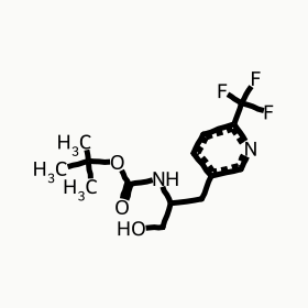 CC(C)(C)OC(=O)NC(CO)Cc1ccc(C(F)(F)F)nc1